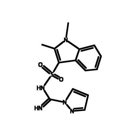 Cc1c(S(=O)(=O)NC(=N)n2cccn2)c2ccccc2n1C